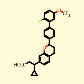 O=C(O)CC(c1ccc2c(c1)OC(c1ccc(-c3cc(OC(F)(F)F)ccc3F)cc1)CC2)C1CC1